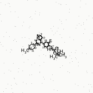 CN1CCN(c2cn3nccc3c(-c3ccc(CNC(=O)OC(C)(C)C)c(F)c3)n2)CC1